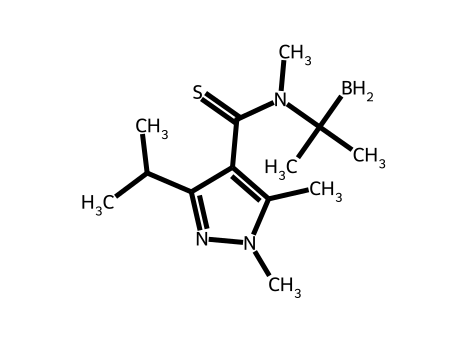 BC(C)(C)N(C)C(=S)c1c(C(C)C)nn(C)c1C